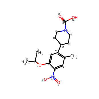 Cc1cc([N+](=O)[O-])c(OC(C)C)cc1C1CCN(C(=O)O)CC1